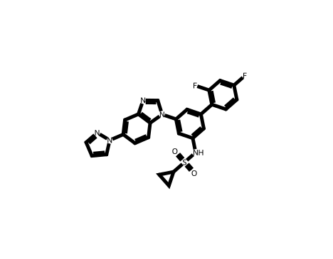 O=S(=O)(Nc1cc(-c2ccc(F)cc2F)cc(-n2cnc3cc(-n4cccn4)ccc32)c1)C1CC1